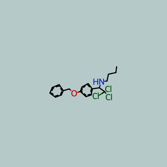 CCCCNC(c1ccc(OCc2ccccc2)cc1)C(Cl)(Cl)Cl